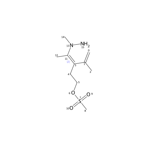 C=C(C)/C(CCOS(C)(=O)=O)=C(/C)N(C)N